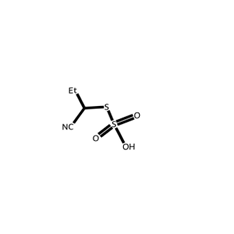 CCC(C#N)SS(=O)(=O)O